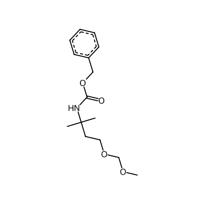 COCOCCC(C)(C)NC(=O)OCc1ccccc1